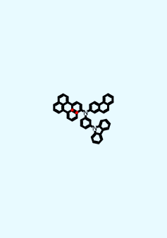 c1ccc(-c2cccc3cccc(-c4ccc(N(c5cccc(-n6c7ccccc7c7ccccc76)c5)c5ccc6c(ccc7ccccc76)c5)cc4)c23)cc1